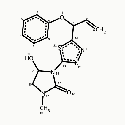 C=CC(Oc1ccccc1)c1nnc(N2C(=O)N(C)CC2O)s1